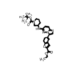 CCOC(=O)c1cc2cc(-c3cnc4ccc(NC5CCCN(C(=O)OC(C)(C)C)C5)nn34)ccc2o1